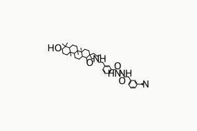 CCCC1(C(=O)NCCc2cccc(C(=O)NNC(=O)Cc3cccc(C#N)c3)c2)CC[C@]2(C)C(CCC3C4(C)CCC(O)C(C)(C)C4CCC32C)C1C